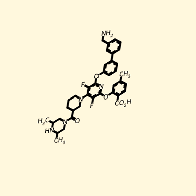 Cc1ccc(C(=O)O)c(Oc2nc(Oc3cccc(-c4cccc(CN)c4)c3)c(F)c(N3CCCC(C(=O)N4CC(C)NC(C)C4)C3)c2F)c1